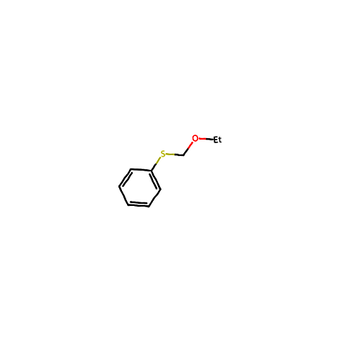 CCOCSc1ccccc1